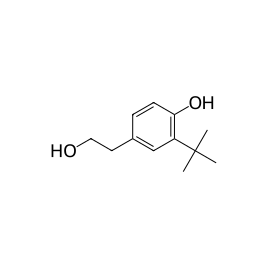 CC(C)(C)c1cc(CCO)ccc1O